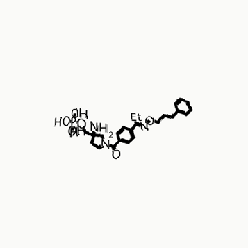 CC/C(=N\OCCCc1ccccc1)c1ccc(C(=O)N2CCC(N)(CO[PH](O)(O)O)C2)cc1